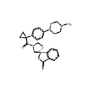 CN1CCN(c2ccc(C3(C(=O)N4CC[C@@]5(C4)OC(=O)c4ccccc45)CC3)cc2)CC1